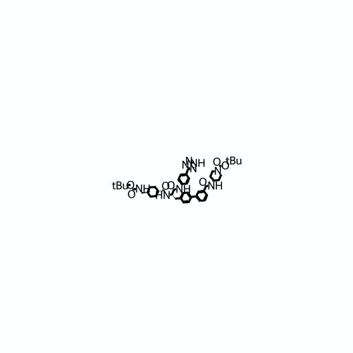 CC(C)(C)OC(=O)NC[C@H]1CC[C@H](C(=O)N[C@@H](Cc2ccc(-c3cccc(C(=O)NC4CCN(C(=O)OC(C)(C)C)CC4)c3)cc2)C(=O)Nc2ccc(-c3nn[nH]n3)cc2)CC1